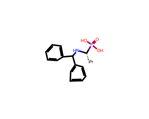 CC(C)[C@H](NC(c1ccccc1)c1ccccc1)P(=O)(O)O